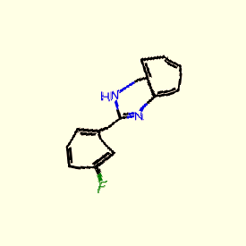 Fc1cccc(-c2nc3cc[c]cc3[nH]2)c1